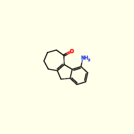 Nc1cccc2c1C1=C(CCCCC1=O)C2